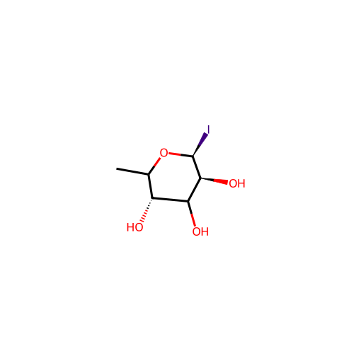 CC1O[C@@H](I)[C@@H](O)C(O)[C@@H]1O